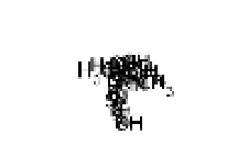 CC[C@H](C)[C@H](NC(=O)c1csc(N2CC(O)C2)n1)C(O[SiH](C)C)C(C)(C)C